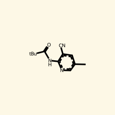 Cc1cnc(NC(=O)C(C)(C)C)c(C#N)c1